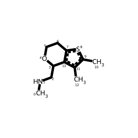 CNCC1OCCc2sc(C)c(C)c21